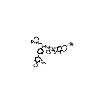 CC(C)(C)[C@H]1CCc2nc3sc(C(=O)N[C@H](CCN4CCCC5(CC5)C4)c4ccc(-c5ccc(=O)[nH]c5)cc4)cc3cc2C1